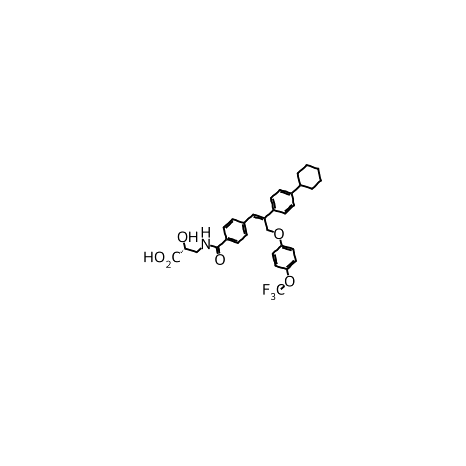 O=C(NC[C@@H](O)C(=O)O)c1ccc(/C=C(\COc2ccc(OC(F)(F)F)cc2)c2ccc(C3CCCCC3)cc2)cc1